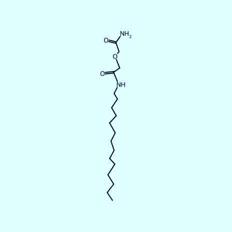 CCCCCCCCCCCCCCNC(=O)COCC(N)=O